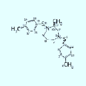 Cc1ccc(SN2CCCN(Sc3ccc(C)cc3)[C@@H](C)C2)cc1